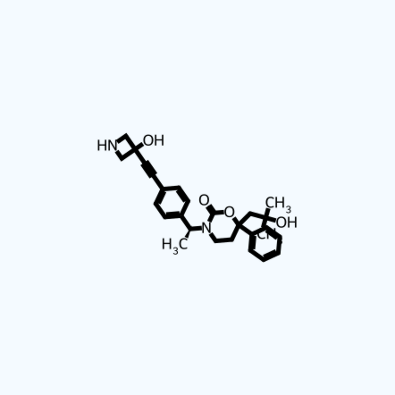 C[C@@H](c1ccc(C#CC2(O)CNC2)cc1)N1CCC(CC(C)(C)O)(c2ccccc2)OC1=O